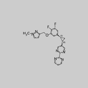 Cn1ccc(COc2cc([C@H]3C[C@H]3c3cnc(-c4ncccn4)nc3)cc(F)c2F)n1